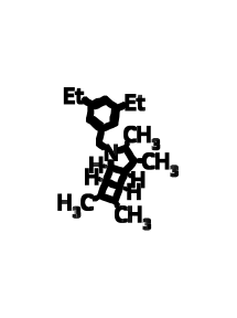 CCc1cc(CC)cc(CN2[C@@H]3[C@@H]4[C@H](C)[C@H](C)[C@@H]4[C@@H]3[C@H](C)[C@@H]2C)c1